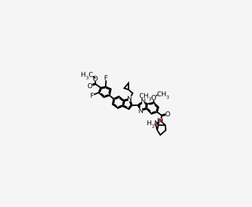 COC(=O)c1c(F)cc(-c2ccc3cc(-c4nc5cc(C(=O)N6CC7CCC6[C@@H]7N)cc(OC)c5n4C)n(CC4CC4)c3c2)cc1F